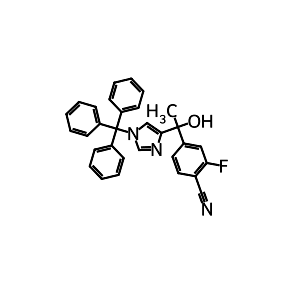 CC(O)(c1ccc(C#N)c(F)c1)c1cn(C(c2ccccc2)(c2ccccc2)c2ccccc2)cn1